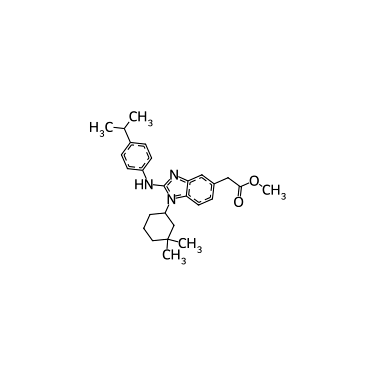 COC(=O)Cc1ccc2c(c1)nc(Nc1ccc(C(C)C)cc1)n2C1CCCC(C)(C)C1